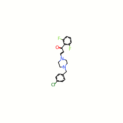 O=C(C=CN1CCN(Cc2ccc(Cl)cc2)CC1)c1c(F)cccc1F